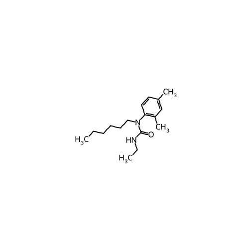 CCCCCCN(C(=O)NCC)c1ccc(C)cc1C